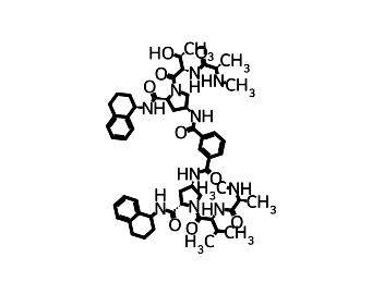 CN[C@@H](C)C(=O)N[C@H](C(=O)N1C[C@@H](NC(=O)c2cccc(C(=O)N[C@H]3C[C@@H](C(=O)N[C@@H]4CCCc5ccccc54)N(C(=O)[C@@H](NC(=O)[C@H](C)NC)[C@@H](C)O)C3)c2)C[C@H]1C(=O)NC1CCCc2ccccc21)C(C)C